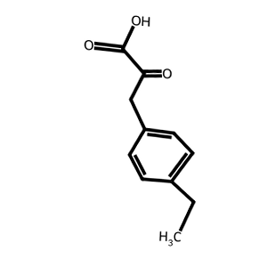 CCc1ccc(CC(=O)C(=O)O)cc1